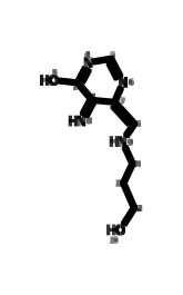 N=C1C(O)=NC=N/C1=C/NCCCO